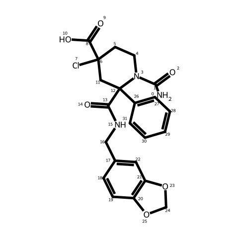 NC(=O)N1CCC(Cl)(C(=O)O)CC1(C(=O)NCc1ccc2c(c1)OCO2)c1ccccc1